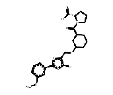 COc1cccc(-c2nc(COC3CCCC(C(=O)N4CCC[C@H]4C(=O)O)C3)c(C)o2)c1